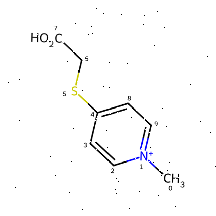 C[n+]1ccc(SCC(=O)O)cc1